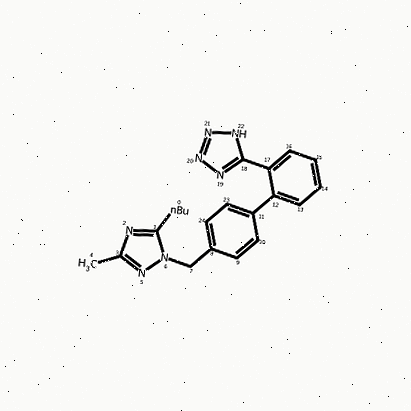 CCCCc1nc(C)nn1Cc1ccc(-c2ccccc2-c2nnn[nH]2)cc1